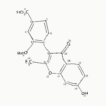 COc1cc(C(=O)O)ccc1-c1c(C(F)(F)F)oc2cc(O)ccc2c1=O